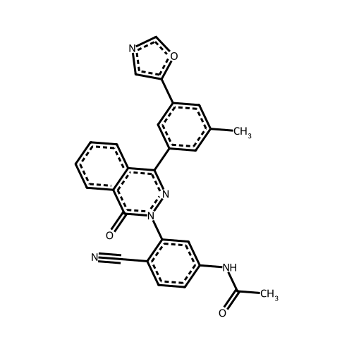 CC(=O)Nc1ccc(C#N)c(-n2nc(-c3cc(C)cc(-c4cnco4)c3)c3ccccc3c2=O)c1